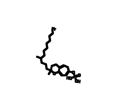 CC(C)CCCCCCCC(C)CCCC1(C)CCC2=CCC(OP(=O)(O)O)=CC=C2O1